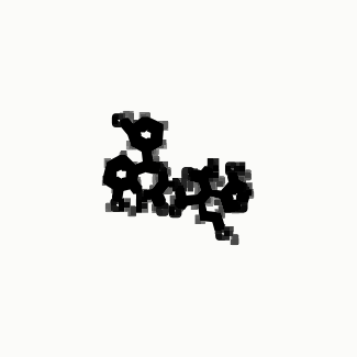 Cc1cccc2c1NC(=O)[C@@H](NC(=O)[C@H](CCC(F)(F)F)[C@@H](C(N)=O)c1conc1C)N=C2c1cccc(Cl)c1